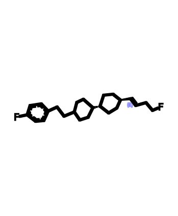 FCC/C=C/[C@H]1CC[C@H](C2CCC(CCc3ccc(F)cc3)CC2)CC1